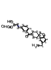 NCc1ccc2c(c1)C1(CCN(C(=O)c3cccc(/C=C/B(O)OC=O)c3)CC1)CO2